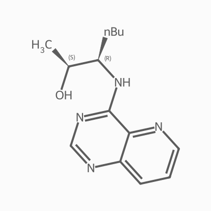 CCCC[C@@H](Nc1ncnc2cccnc12)[C@H](C)O